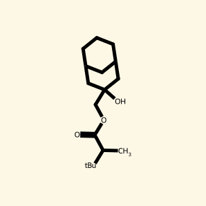 CC(C(=O)OCC1(O)CC2CCCC(C2)C1)C(C)(C)C